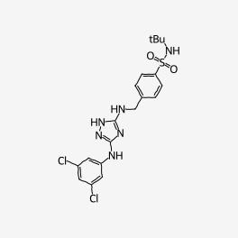 CC(C)(C)NS(=O)(=O)c1ccc(CNc2nc(Nc3cc(Cl)cc(Cl)c3)n[nH]2)cc1